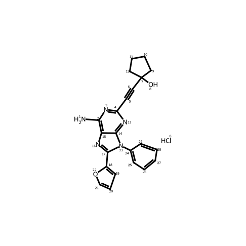 Cl.Nc1nc(C#CC2(O)CCCC2)nc2c1nc(-c1ccco1)n2-c1ccccc1